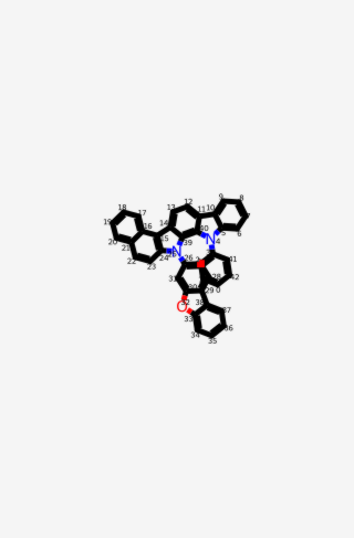 c1ccc(-n2c3ccccc3c3ccc4c5c6ccccc6ccc5n(-c5ccc6c(c5)oc5ccccc56)c4c32)cc1